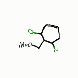 COCC1C(Cl)C=CCC1Cl